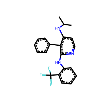 CC(C)Nc1ccnc(Nc2ccccc2C(F)(F)F)c1-c1ccccc1